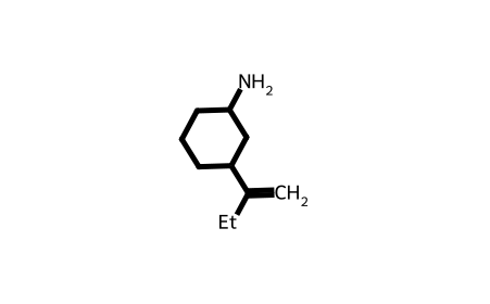 C=C(CC)C1CCCC(N)C1